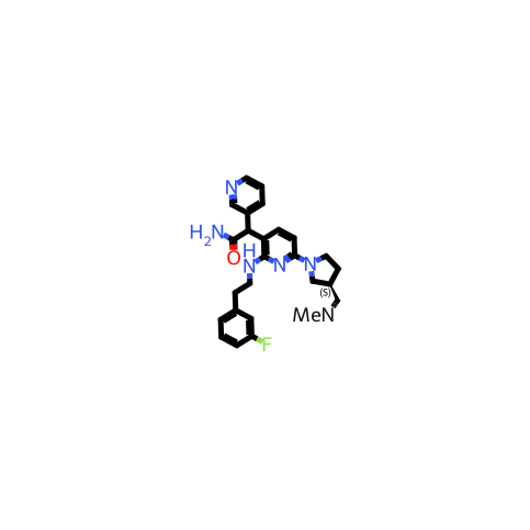 CNC[C@@H]1CCN(c2ccc(C(C(N)=O)c3cccnc3)c(NCCc3cccc(F)c3)n2)C1